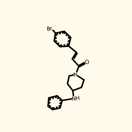 O=C(C=Cc1ccc(Br)cc1)N1CCC(Nc2ccccc2)CC1